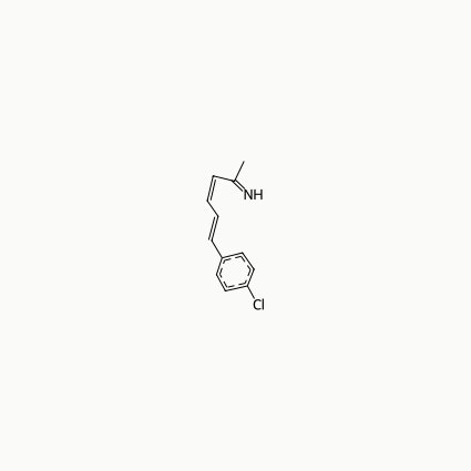 CC(=N)/C=C\C=C\c1ccc(Cl)cc1